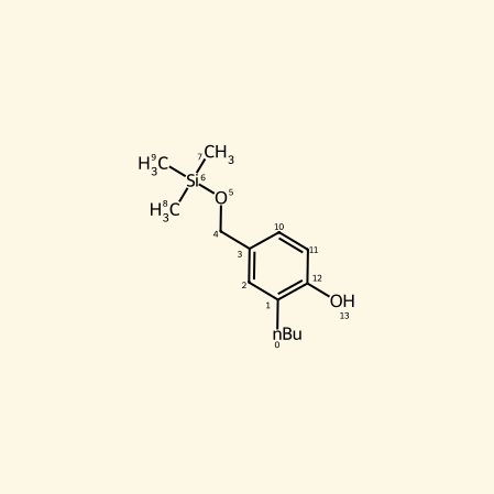 CCCCc1cc(CO[Si](C)(C)C)ccc1O